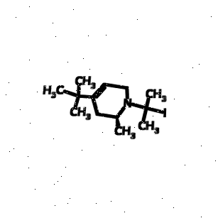 C[C@H]1CC(C(C)(C)C)=CCN1C(C)(C)I